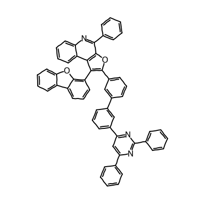 c1ccc(-c2cc(-c3cccc(-c4cccc(-c5oc6c(-c7ccccc7)nc7ccccc7c6c5-c5cccc6c5oc5ccccc56)c4)c3)nc(-c3ccccc3)n2)cc1